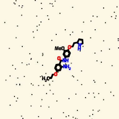 C=CCOc1ccc(C(=O)Nc2ccc(OCCC3CCCN3)c(OC)c2)c(N)c1